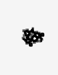 CCn1c(=O)cc(C2CC2)c2cc(-n3c(=O)cc(C)n3-c3ccccc3)ccc21